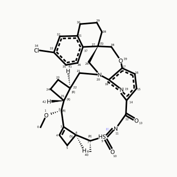 CO[C@H]1C2=CC[C@@H]2[C@@H](C)/[SH](=O)=N\C(=O)c2ccc3c(n2)N(C[C@@H]2CC[C@H]21)C[C@@]1(CCCc2cc(Cl)ccc21)CO3